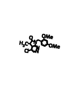 COc1ccc(CN2C(=O)C(C)c3c(Cl)cnnc32)c(OC)c1